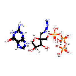 C[C@@]1(O)[C@H](O)[C@@](CN=[N+]=[N-])(COP(=O)(O)OP(=O)(O)OP(=O)(O)O)O[C@H]1n1cnc2c(=O)[nH]c(N)nc21